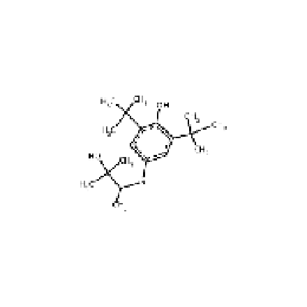 CC(Sc1cc(C(C)(C)C)c(O)c(C(C)(C)C)c1)C(C)(C)O